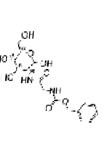 O=C(CNC(=O)OCc1ccccc1)N[C@H]1C(O)O[C@H](CO)[C@@H](O)[C@@H]1O